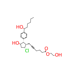 CCCCC[C@H](O)c1ccc([C@@H]2[C@@H](CC#CCCCC(=O)OCCO)[C@H](Cl)C[C@H]2O)cc1